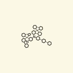 c1ccc(-c2ccc(-c3ccc(N(c4ccc5c(c4)C4(c6ccccc6-c6ccccc64)c4cccc6c7ccccc7n-5c46)c4cccc5c4-c4ccccc4C54c5ccccc5-c5ccccc54)cc3)cc2)cc1